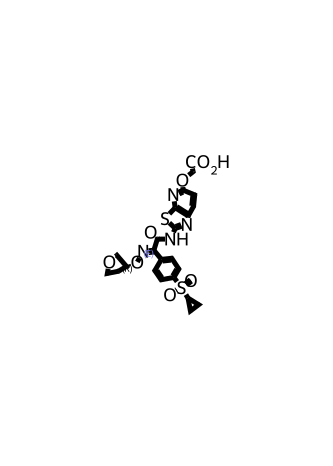 O=C(O)COc1ccc2nc(NC(=O)/C(=N/O[C@@H]3CCOC3)c3ccc(S(=O)(=O)C4CC4)cc3)sc2n1